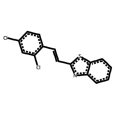 Clc1ccc(C=Cc2nc3ccccc3s2)c(Cl)c1